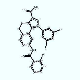 NC(=O)c1nn(-c2cc(F)cc(F)c2)c2c1CCc1ccc(NC(=O)c3cccnc3Cl)cc1-2